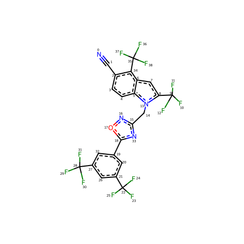 N#Cc1ccc2c(cc(C(F)(F)F)n2Cc2noc(-c3cc(C(F)(F)F)cc(C(F)(F)F)c3)n2)c1C(F)(F)F